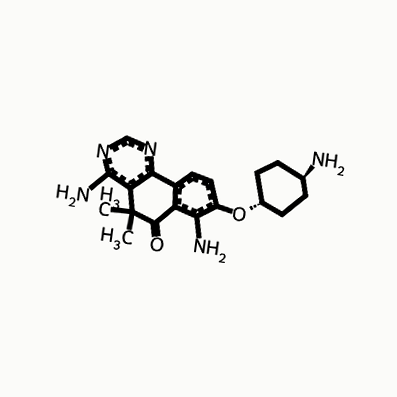 CC1(C)C(=O)c2c(ccc(O[C@H]3CC[C@H](N)CC3)c2N)-c2ncnc(N)c21